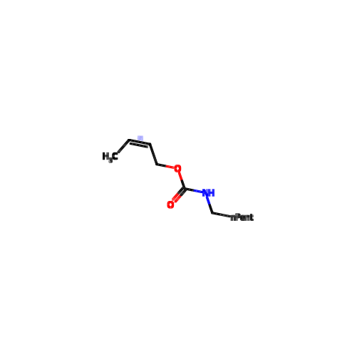 C/C=C\COC(=O)NCCCCCC